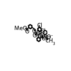 COC(=O)c1cccc(CONC(=O)[C@@H]2c3ccccc3C(=O)N(C3CCCC[C@@H]3N[S+](C)[O-])[C@H]2c2ccc(Cl)cc2Cl)c1